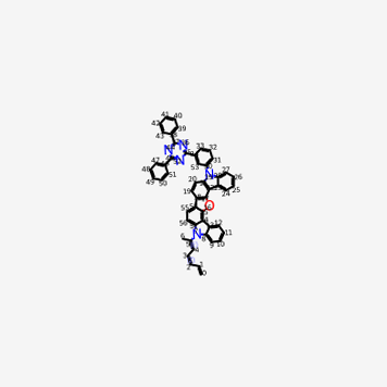 C=C/C=C\C=C(/C)n1c2ccccc2c2c3oc4c(ccc5c4c4ccccc4n5-c4cccc(-c5nc(-c6ccccc6)nc(-c6ccccc6)n5)c4)c3ccc21